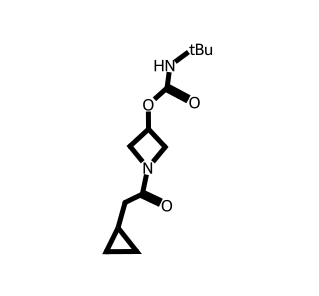 CC(C)(C)NC(=O)OC1CN(C(=O)CC2CC2)C1